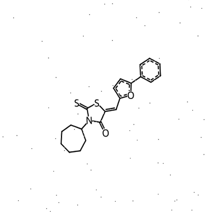 O=C1/C(=C/c2ccc(-c3ccccc3)o2)SC(=S)N1C1CCCCCC1